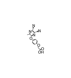 Cc1nc(C#N)c(C#N)nc1Oc1ccc(OCC(=O)O)cc1